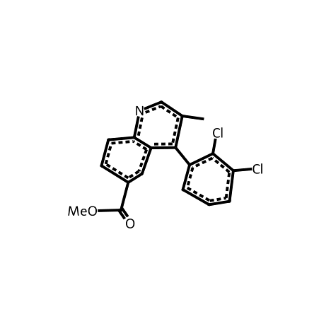 COC(=O)c1ccc2ncc(C)c(-c3cccc(Cl)c3Cl)c2c1